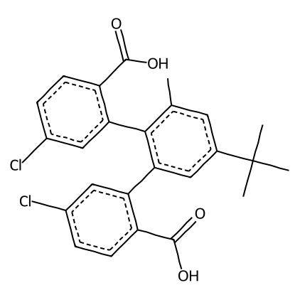 Cc1cc(C(C)(C)C)cc(-c2cc(Cl)ccc2C(=O)O)c1-c1cc(Cl)ccc1C(=O)O